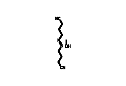 CO.N#CCCCN=NCCCC#N